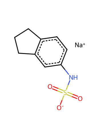 O=S(=O)([O-])Nc1ccc2c(c1)CCC2.[Na+]